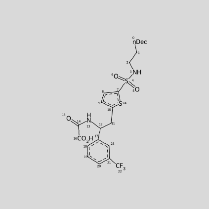 CCCCCCCCCCCCNS(=O)(=O)c1ccc(CC(NC(=O)C(=O)O)c2cccc(C(F)(F)F)c2)s1